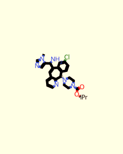 CC(C)OC(=O)N1CCN([C@H]2c3ccc(Cl)cc3C(C(N)c3cncn3C)=Cc3cccnc32)CC1